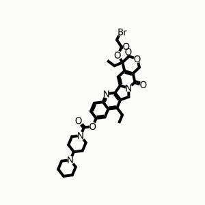 CCc1c2c(nc3ccc(OC(=O)N4CCC(N5CCCCC5)CC4)cc13)-c1cc3c(c(=O)n1C2)COC(=O)C3(CC)OC(=O)CBr